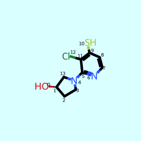 O[C@@H]1CCN(c2nccc(S)c2Cl)C1